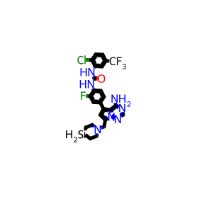 Nc1ncnn2c(CN3CC[SiH2]CC3)cc(-c3ccc(NC(=O)Nc4cc(C(F)(F)F)ccc4Cl)c(F)c3)c12